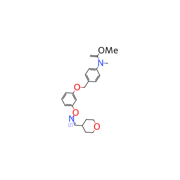 C=C(OC)N(C)c1ccc(COc2cccc(O/N=C\C3CCOCC3)c2)cc1